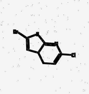 ClC1=CCC2C=C(Br)SC2=N1